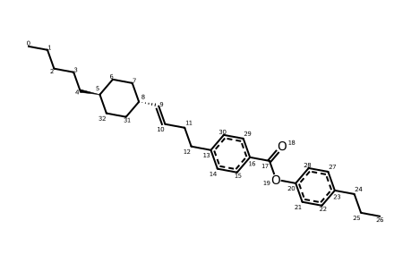 CCCCC[C@H]1CC[C@H](/C=C/CCc2ccc(C(=O)Oc3ccc(CCC)cc3)cc2)CC1